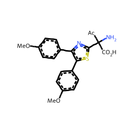 COc1ccc(-c2nc(C(N)(C(C)=O)C(=O)O)sc2-c2ccc(OC)cc2)cc1